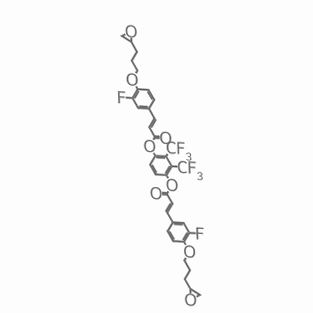 O=C(/C=C/c1ccc(OCCCC2CO2)c(F)c1)Oc1ccc(OC(=O)/C=C/c2ccc(OCCCC3CO3)c(F)c2)c(C(F)(F)F)c1C(F)(F)F